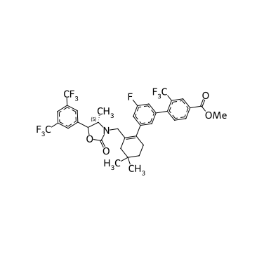 COC(=O)c1ccc(-c2cc(F)cc(C3=C(CN4C(=O)OC(c5cc(C(F)(F)F)cc(C(F)(F)F)c5)[C@@H]4C)CC(C)(C)CC3)c2)c(C(F)(F)F)c1